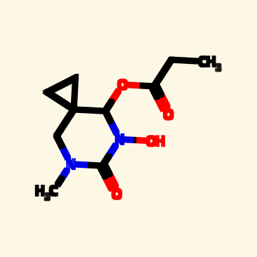 CCC(=O)OC1N(O)C(=O)N(C)CC12CC2